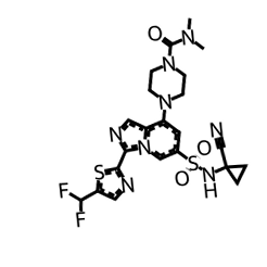 CN(C)C(=O)N1CCN(c2cc(S(=O)(=O)NC3(C#N)CC3)cn3c(-c4ncc(C(F)F)s4)ncc23)CC1